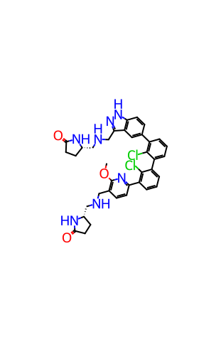 COc1nc(-c2cccc(-c3cccc(-c4ccc5[nH]nc(CNC[C@@H]6CCC(=O)N6)c5c4)c3Cl)c2Cl)ccc1CNC[C@@H]1CCC(=O)N1